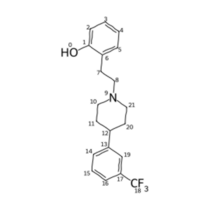 Oc1ccccc1CCN1CCC(c2cccc(C(F)(F)F)c2)CC1